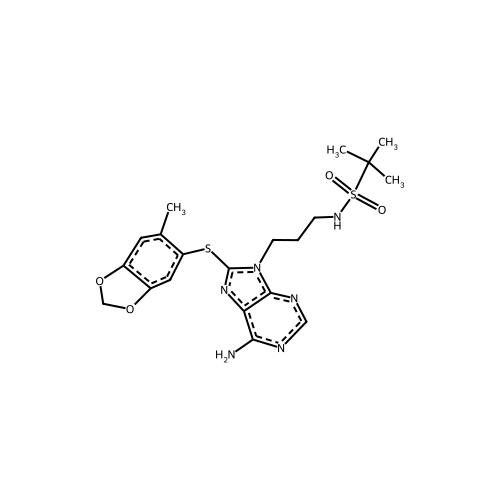 Cc1cc2c(cc1Sc1nc3c(N)ncnc3n1CCCNS(=O)(=O)C(C)(C)C)OCO2